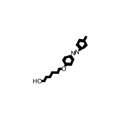 Cc1ccc(N=Nc2ccc(OCCCCCCO)cc2)cc1